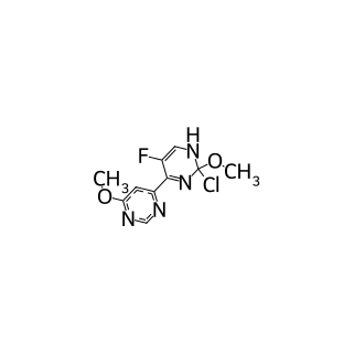 COc1cc(C2=NC(Cl)(OC)NC=C2F)ncn1